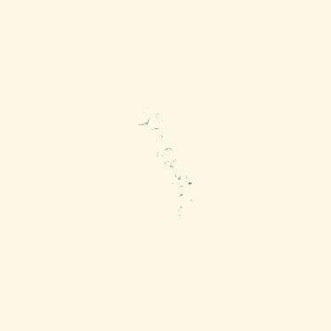 O=C(COc1ccc(Cl)c(F)c1)NC12CC(n3cnc(C4CC(CC(F)(F)F)C4)c3)(C1)C2